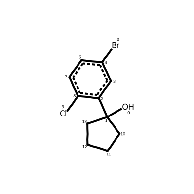 OC1(c2cc(Br)ccc2Cl)CCCC1